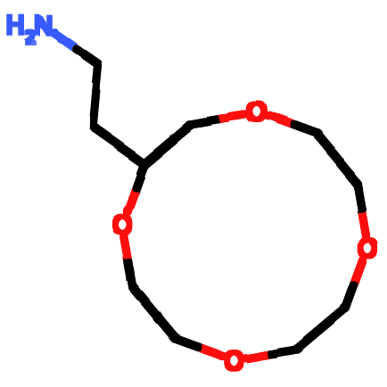 NCCC1COCCOCCOCCO1